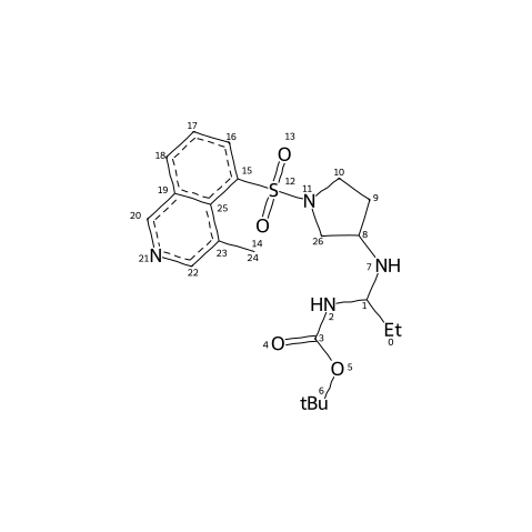 CCC(NC(=O)OC(C)(C)C)NC1CCN(S(=O)(=O)c2cccc3cncc(C)c23)C1